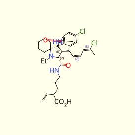 C=CC(CCCNC(=O)[C@H]1[C@H](C/C=C\C=C(/C)Cl)[C@]2(C(=O)Nc3cc(Cl)ccc32)C2(CCCCC2)N1CC)C(=O)O